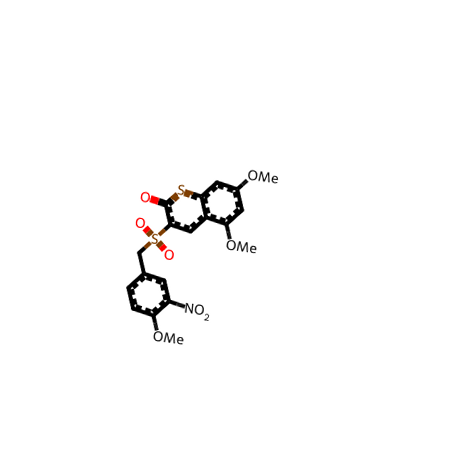 COc1cc(OC)c2cc(S(=O)(=O)Cc3ccc(OC)c([N+](=O)[O-])c3)c(=O)sc2c1